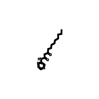 CCCCCCCCCC(=O)CC(=O)Nc1cnccn1